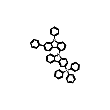 c1ccc(-c2ccc3c4c(-n5c6ccccc6c6cc([Si](c7ccccc7)(c7ccccc7)c7ccccc7)ccc65)cccc4n(-c4ccccc4)c3c2)cc1